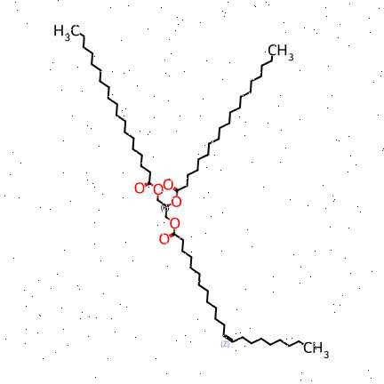 CCCCCCCC/C=C\CCCCCCCCCCCC(=O)OC[C@@H](COC(=O)CCCCCCCCCCCCCCCCCC)OC(=O)CCCCCCCCCCCCCCCCCC